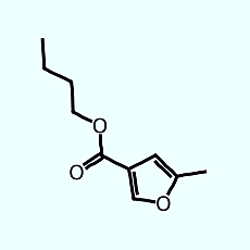 CCCCOC(=O)c1coc(C)c1